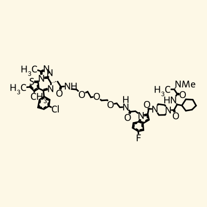 CN[C@@H](C)C(=O)N[C@H](C(=O)N1CCN(C(=O)c2cc3cc(F)ccc3n2CC(=O)NCCOCCOCCOCCNC(=O)C[C@@H]2N=C(c3cccc(Cl)c3)c3c(sc(C)c3C)-n3c(C)nnc32)CC1)C1CCCCC1